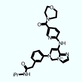 CC(C)NC(=O)Cc1cccc(N2C=C(Nc3ccc(C(=O)N4CCOCC4)cn3)C3=NC=C[N+]3C2)c1